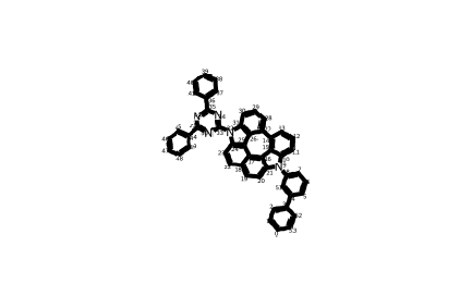 c1ccc(-c2cccc(-n3c4cccc5c4c4c6c(ccc43)ccc3c6c4c-5cccc4n3-c3nc(-c4ccccc4)nc(-c4ccccc4)n3)c2)cc1